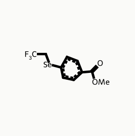 COC(=O)c1ccc([Se]CC(F)(F)F)cc1